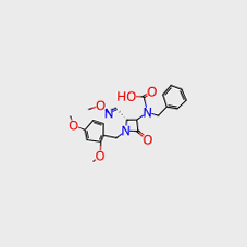 CON=C[C@@H]1C(N(Cc2ccccc2)C(=O)O)C(=O)N1Cc1ccc(OC)cc1OC